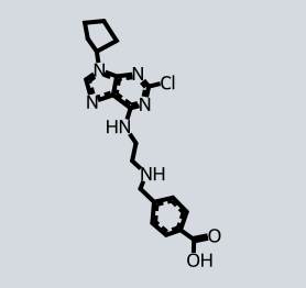 O=C(O)c1ccc(CNCCNc2nc(Cl)nc3c2ncn3C2CCCC2)cc1